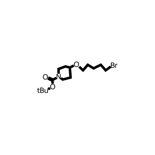 CC(C)(C)OC(=O)N1CCC(OCCCCCBr)CC1